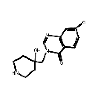 O=c1c2ccc(Cl)cc2ncn1CC1(O)CCNCC1